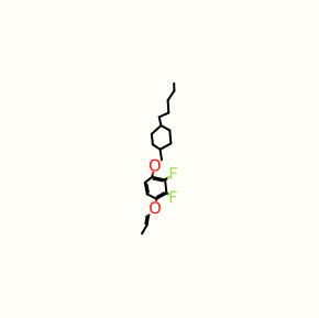 C/C=C/Oc1ccc(OCC2CCC(CCCCC)CC2)c(F)c1F